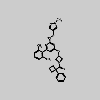 Cc1cccc(C)c1-c1cc(OC2CN(C(=O)C3(c4ccccc4)CCC3)C2)nc(NSc2cnn(C)c2)n1